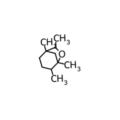 CC1OC2(C)CC1(C)CCC2C